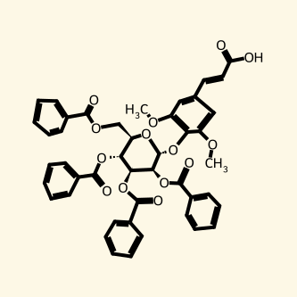 COc1cc(C=CC(=O)O)cc(OC)c1O[C@H]1O[C@H](COC(=O)c2ccccc2)[C@@H](OC(=O)c2ccccc2)[C@H](OC(=O)c2ccccc2)[C@@H]1OC(=O)c1ccccc1